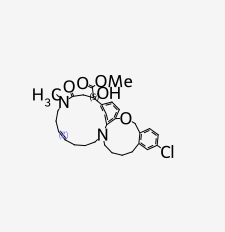 COC(=O)[C@]1(O)CC(=O)N(C)CC/C=C\CCCN2CCCCc3cc(Cl)ccc3COc3ccc1cc32